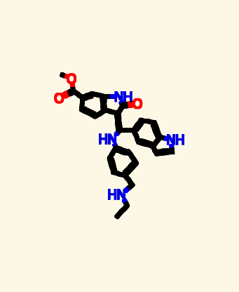 CCNCc1ccc(NC(=C2C(=O)Nc3cc(C(=O)OC)ccc32)c2ccc3[nH]ccc3c2)cc1